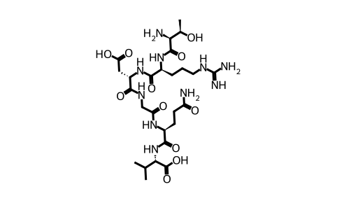 CC(C)[C@H](NC(=O)[C@H](CCC(N)=O)NC(=O)CNC(=O)[C@H](CC(=O)O)NC(=O)[C@H](CCCNC(=N)N)NC(=O)[C@@H](N)[C@@H](C)O)C(=O)O